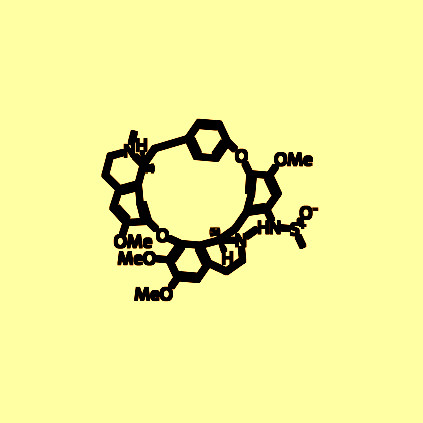 COc1cc(N[S+](C)[O-])c2cc1Oc1ccc(cc1)C[C@H]1c3cc(c(OC)cc3CCN1C)Oc1c(OC)c(OC)cc3c1[C@H](C2)N(C)CC3